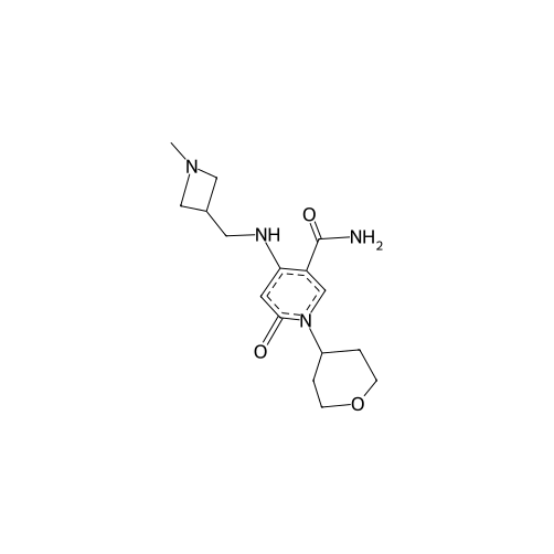 CN1CC(CNc2cc(=O)n(C3CCOCC3)cc2C(N)=O)C1